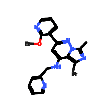 CCOc1ncccc1-c1cc(NCc2ccccn2)c2c(C(C)C)nc(C)n2n1